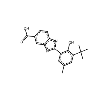 Cc1cc(-n2nc3ccc(C(=O)O)cc3n2)c(O)c(C(C)(C)C)c1